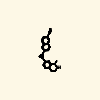 CC1NCCc2ccc(C3CC3c3ccc4cc(C#N)ccc4c3)cc21